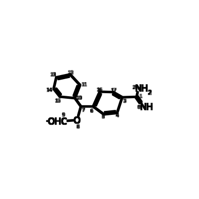 N=C(N)c1ccc(C(O[C]=O)c2ccccc2)cc1